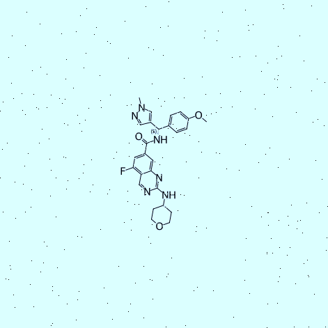 COc1ccc([C@H](NC(=O)c2cc(F)c3cnc(NC4CCOCC4)nc3c2)c2cnn(C)c2)cc1